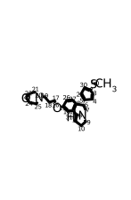 CSc1ccc([C@@H]2CN3CCC[C@@H]3c3cc(OCCCN4CCOCC4)ccc32)cc1